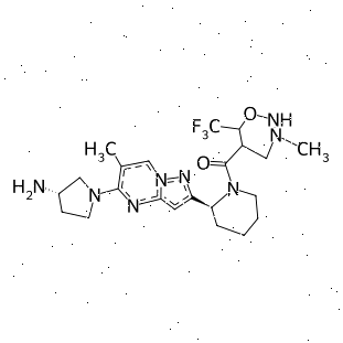 Cc1cn2nc([C@@H]3CCCCN3C(=O)C3CN(C)NOC3C(F)(F)F)cc2nc1N1CC[C@H](N)C1